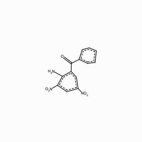 Nc1c(C(=O)c2ccccc2)cc([N+](=O)[O-])cc1[N+](=O)[O-]